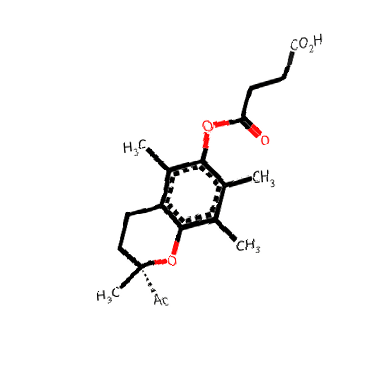 CC(=O)[C@]1(C)CCc2c(C)c(OC(=O)CCC(=O)O)c(C)c(C)c2O1